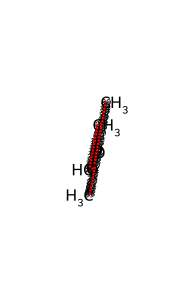 CCCCCCCCCCCCCCCCCCCCCCCCCCCC(=O)O.CCCCCCCCCCCCCCCCCCCCCCCCCCCCCCOC(=O)CCCCCCCCCCCCCCCCCCCCCCCCCCC